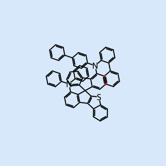 c1ccc(-c2ccc(N(c3ccccc3-c3ccccc3)c3cccc4c3-c3ccccc3C43c4sc5ccccc5c4-c4cccc(N(c5ccccc5)c5ccccc5)c43)cc2)cc1